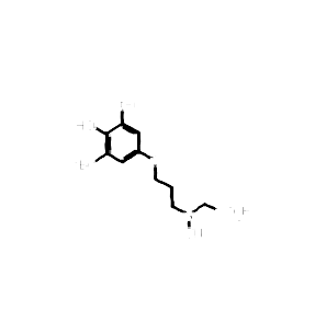 CN(CCCSc1cc(C(C)(C)C)c(O)c(C(C)(C)C)c1)CC(=O)O